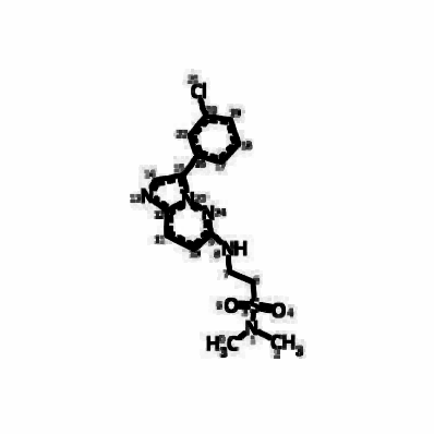 CN(C)S(=O)(=O)CCNc1ccc2ncc(-c3cccc(Cl)c3)n2n1